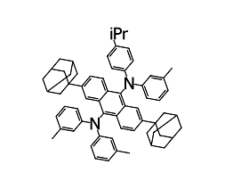 Cc1cccc(N(c2ccc(C(C)C)cc2)c2c3ccc(C45CC6CC(CC(C6)C4)C5)cc3c(N(c3cccc(C)c3)c3cccc(C)c3)c3ccc(C45CC6CC(CC(C6)C4)C5)cc23)c1